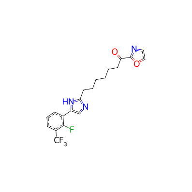 O=C(CCCCCCc1ncc(-c2cccc(C(F)(F)F)c2F)[nH]1)c1ncco1